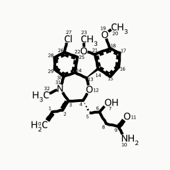 C=C/C=C1/[C@@H](CC(O)CC(N)=O)O[C@H](c2cccc(OC)c2OC)c2cc(Cl)ccc2N1C